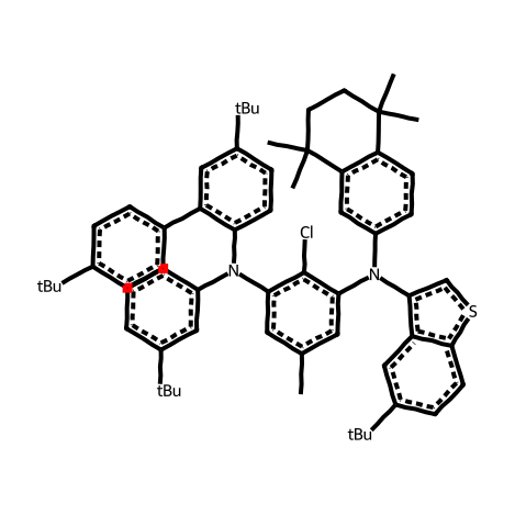 Cc1cc(N(c2cccc(C(C)(C)C)c2)c2ccc(C(C)(C)C)cc2-c2ccc(C(C)(C)C)cc2)c(Cl)c(N(c2ccc3c(c2)C(C)(C)CCC3(C)C)c2csc3ccc(C(C)(C)C)cc23)c1